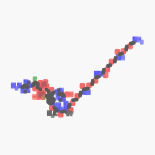 CC(C)[C@H](NC(=O)COCCOCCNC(=O)COCCOCCNC(=O)COCCOCCNC(=O)COCCOCCN)C(=O)N[C@H](C)C(=O)Nc1ccc(CSP(=O)(O)OC[C@H]2O[C@@H](n3cnc4c(N)ncnc43)[C@H](F)[C@@H]2OP(=O)(O)OC[C@@H]2CC[C@H](n3cnc4c(O)ncnc43)O2)cc1